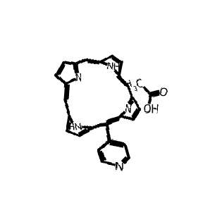 C1=Cc2cc3ccc([nH]3)c(-c3ccncc3)c3nc(cc4ccc(cc1n2)[nH]4)C=C3.CC(=O)O